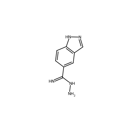 N=C(NN)c1ccc2[nH]ncc2c1